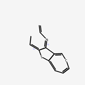 C=C/N=C1/C2=CCC=CC=C2S/C1=C/C